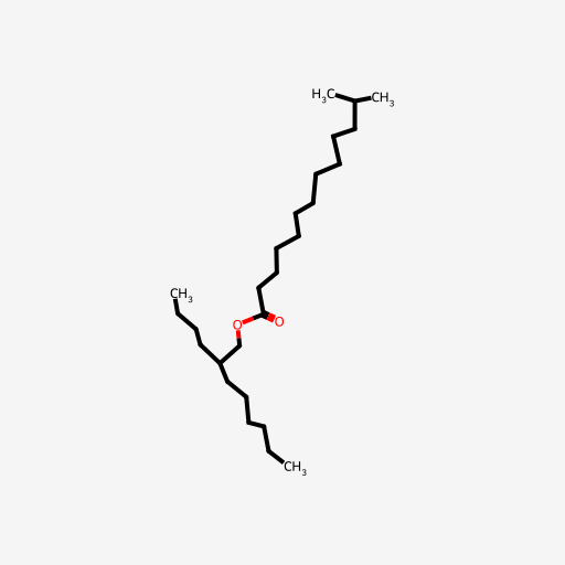 CCCCCCC(CCCC)COC(=O)CCCCCCCCCCC(C)C